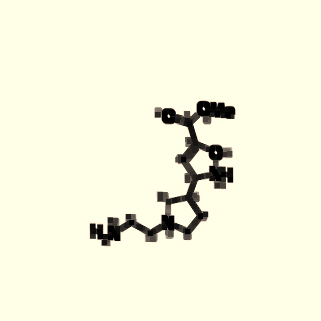 COC(=O)C1=CC(C2CCN(CCN)C2)NO1